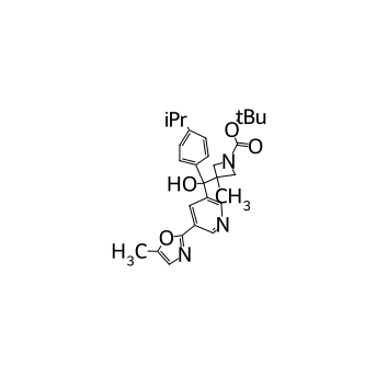 Cc1cnc(-c2cncc(C(O)(c3ccc(C(C)C)cc3)C3(C)CN(C(=O)OC(C)(C)C)C3)c2)o1